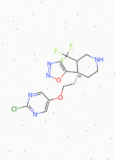 FC(F)(F)C1CNCC[C@@]1(CCOc1cnc(Cl)nc1)c1cnno1